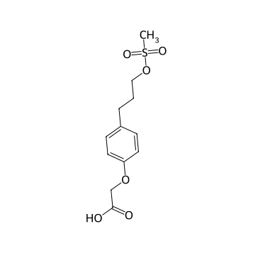 CS(=O)(=O)OCCCc1ccc(OCC(=O)O)cc1